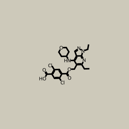 CCc1nc2c(cnn2CC)c(NC2CCOCC2)c1COC(=O)c1cc(Cl)c(C(=O)O)cc1Cl